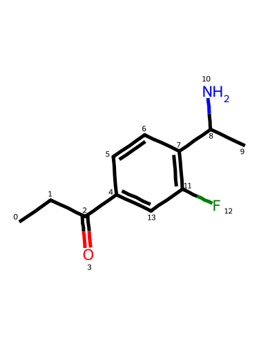 CCC(=O)c1ccc(C(C)N)c(F)c1